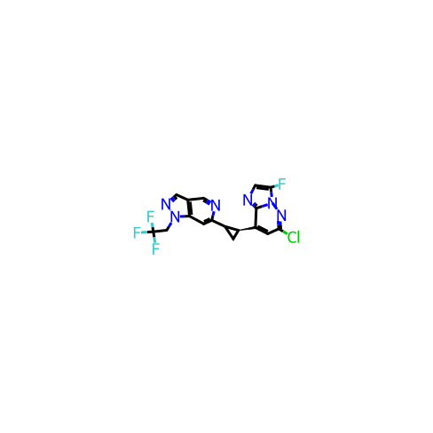 Fc1cnc2c([C@H]3CC3c3cc4c(cn3)cnn4CC(F)(F)F)cc(Cl)nn12